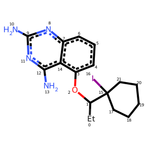 CCC(Oc1cccc2nc(N)nc(N)c12)C1(I)CCCCC1